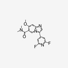 COc1cc2ncc(-c3cc(F)nc(F)c3)n2cc1C(=O)N(C)C